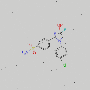 NS(=O)(=O)c1ccc(C2=NC(O)(F)CN2c2ccc(Cl)cc2)cc1